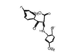 COC(=O)C(=CNc1cc(OC)ccc1Br)C(=O)c1ccc(F)cc1